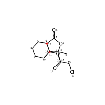 CC1(C)OC(=O)C2C3CCC(C(OC(=O)CCl)C3)C21